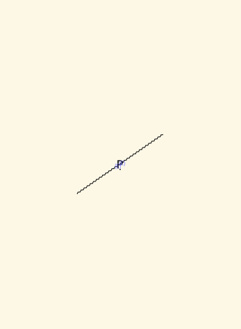 CCCCCCCCCCCCCCCCCCCCCCCCCC/C=C/[P]/C=C/CCCCCCCCCCCCCCCCCCCCCCCCCC